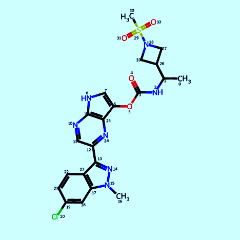 CC(NC(=O)Oc1c[nH]c2ncc(-c3nn(C)c4cc(Cl)ccc34)nc12)C1CN(S(C)(=O)=O)C1